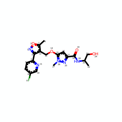 Cc1onc(-c2ccc(F)cn2)c1COc1cc(C(=O)NC(C)CO)nn1C